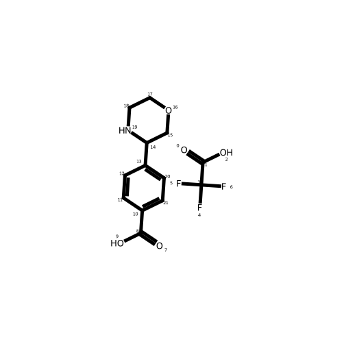 O=C(O)C(F)(F)F.O=C(O)c1ccc(C2COCCN2)cc1